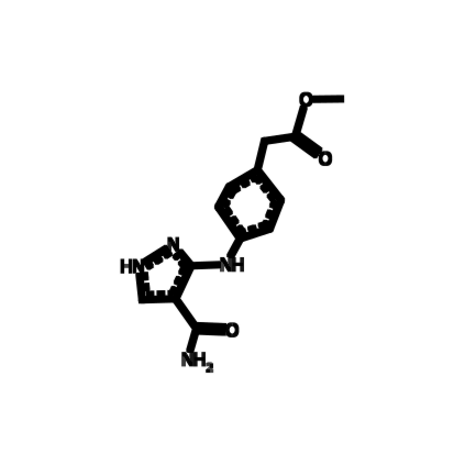 COC(=O)Cc1ccc(Nc2n[nH]cc2C(N)=O)cc1